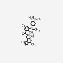 CCN(c1cc(Cl)cc(C(=O)NCc2c(O)nc(C)c3cn[nH]c23)c1C)[C@H]1CC[C@H](N(C)C)CC1